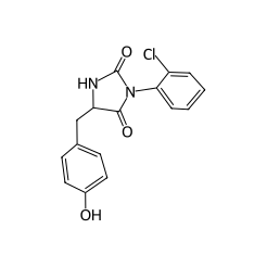 O=C1NC(Cc2ccc(O)cc2)C(=O)N1c1ccccc1Cl